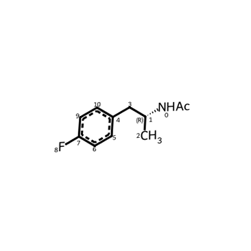 CC(=O)N[C@H](C)Cc1ccc(F)cc1